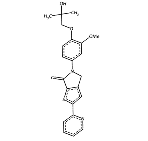 COc1cc(N2Cc3cc(-c4ccccn4)sc3C2=O)ccc1OCC(C)(C)O